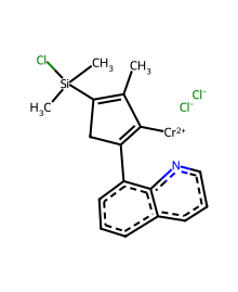 CC1=C([Si](C)(C)Cl)CC(c2cccc3cccnc23)=[C]1[Cr+2].[Cl-].[Cl-]